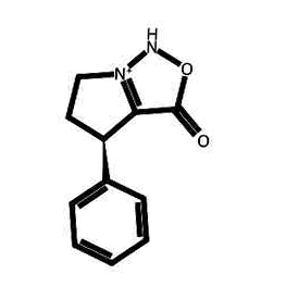 O=c1o[nH][n+]2c1[C@@H](c1ccccc1)CC2